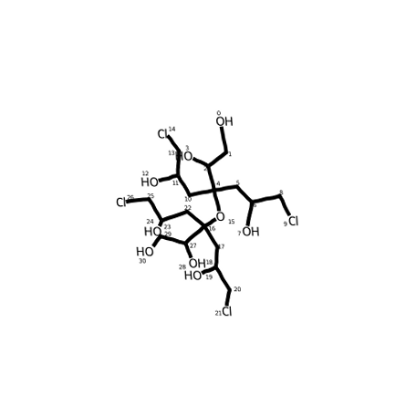 OCC(O)C(CC(O)CCl)(CC(O)CCl)OC(CC(O)CCl)(CC(O)CCl)C(O)CO